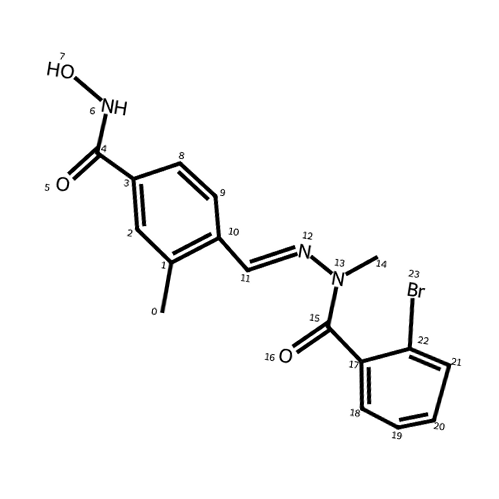 Cc1cc(C(=O)NO)ccc1C=NN(C)C(=O)c1ccccc1Br